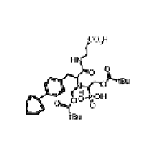 CC(C)(C)C(=O)OCC(N(COC(=O)C(C)(C)C)C(Cc1ccc(-c2ccccc2)cc1)C(=O)NCCC(=O)O)P(=O)(O)O